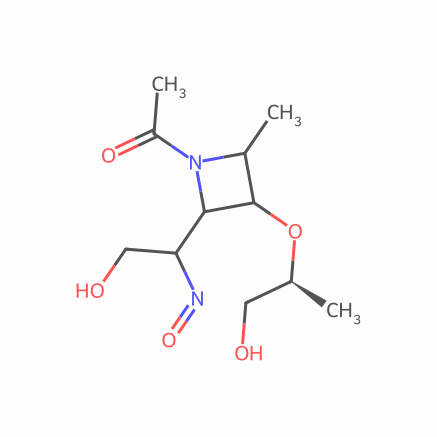 CC(=O)N1C(C)C(O[C@@H](C)CO)C1C(CO)N=O